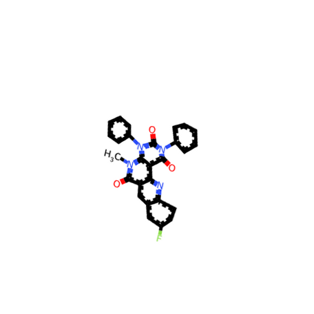 Cn1c(=O)c2cc3cc(F)ccc3nc2c2c(=O)n(-c3ccccc3)c(=O)n(-c3ccccc3)c21